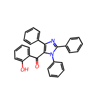 O=C(c1ccccc1O)c1c(-c2ccccc2)nc(-c2ccccc2)n1-c1ccccc1